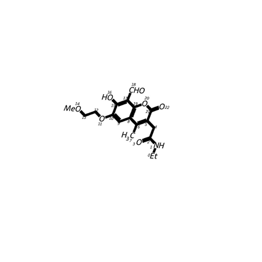 CCNC(=O)Cc1c(C)c2cc(OCCOC)c(O)c(C=O)c2oc1=O